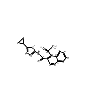 O=C(Nc1nnc(C2CC2)o1)c1ccc2ccccc2c1C(=O)O